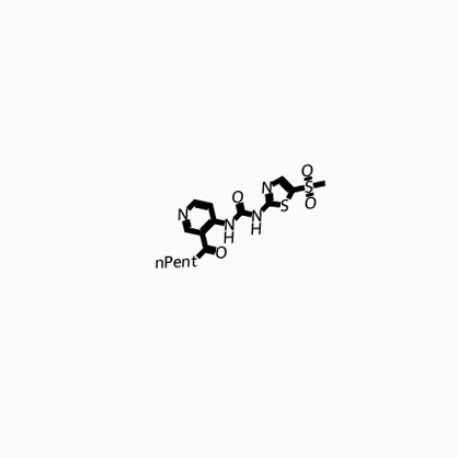 CCCCCC(=O)c1cnccc1NC(=O)Nc1ncc(S(C)(=O)=O)s1